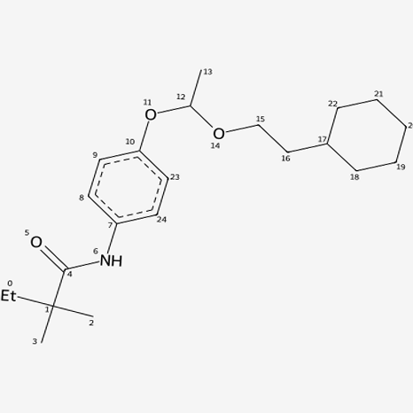 CCC(C)(C)C(=O)Nc1ccc(OC(C)OCCC2CCCCC2)cc1